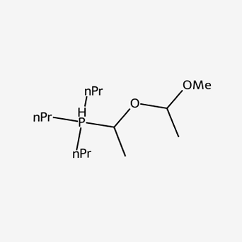 CCC[PH](CCC)(CCC)C(C)OC(C)OC